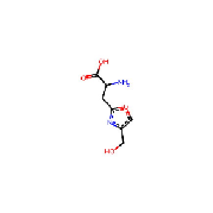 NC(Cc1nc(CO)co1)C(=O)O